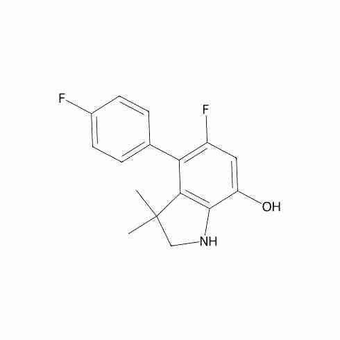 CC1(C)CNc2c(O)cc(F)c(-c3ccc(F)cc3)c21